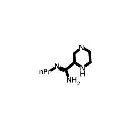 CCC/N=C(\N)C1C[N]CCN1